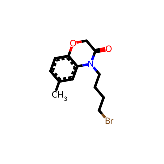 Cc1ccc2c(c1)N(CCCCBr)C(=O)CO2